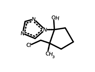 CC1(CCl)CCCC1(O)n1cncn1